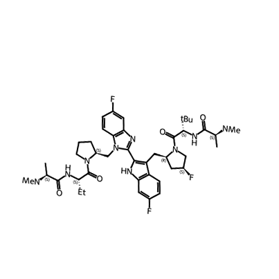 CC[C@H](NC(=O)[C@H](C)NC)C(=O)N1CCC[C@H]1Cn1c(-c2[nH]c3cc(F)ccc3c2C[C@@H]2C[C@H](F)CN2C(=O)[C@@H](NC(=O)[C@H](C)NC)C(C)(C)C)nc2cc(F)ccc21